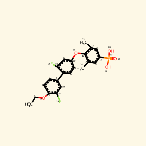 CCOc1ccc(-c2ccc(Oc3c(C)cc(P(=O)(O)O)cc3C)cc2F)cc1F